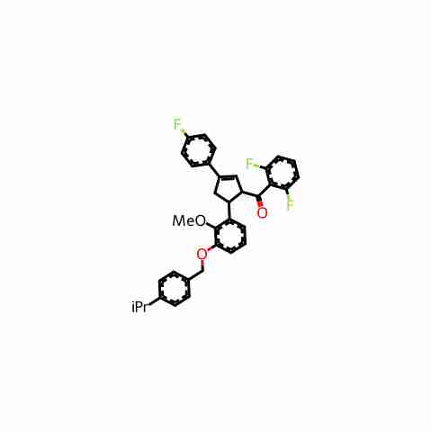 COc1c(OCc2ccc(C(C)C)cc2)cccc1C1CC(c2ccc(F)cc2)=CC1C(=O)c1c(F)cccc1F